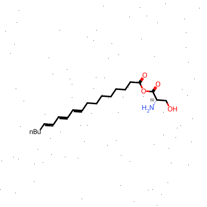 CCCCC=CC=CC=CCCCCCCCC(=O)OC(=O)[C@@H](N)CO